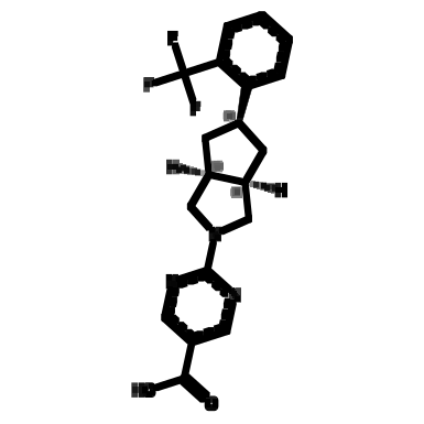 O=C(O)c1cnc(N2C[C@H]3C[C@@H](c4ccccc4C(F)(F)F)C[C@H]3C2)nc1